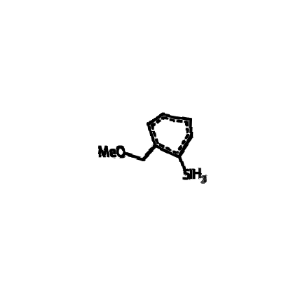 COCc1ccccc1[SiH3]